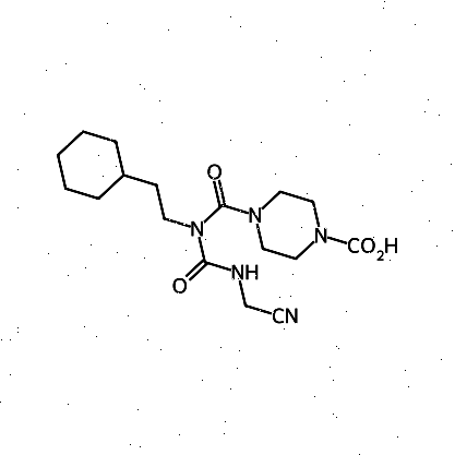 N#CCNC(=O)N(CCC1CCCCC1)C(=O)N1CCN(C(=O)O)CC1